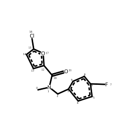 CN(Cc1ccc(F)cc1)C(=O)c1ccc(Cl)o1